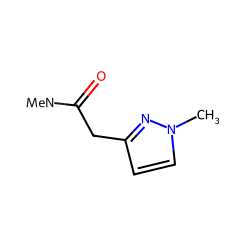 CNC(=O)Cc1ccn(C)n1